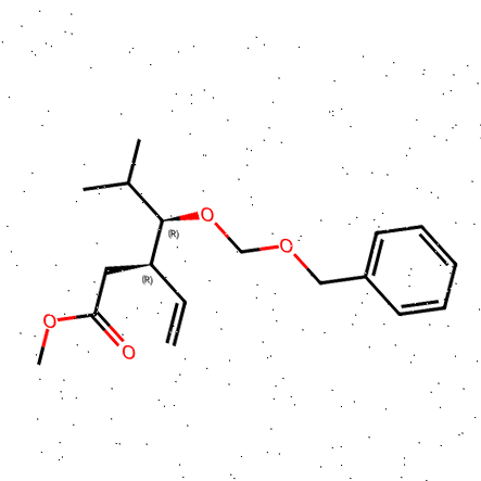 C=C[C@@H](CC(=O)OC)[C@H](OCOCc1ccccc1)C(C)C